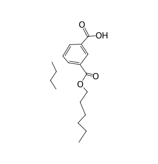 CCCC.CCCCCCOC(=O)c1cccc(C(=O)O)c1